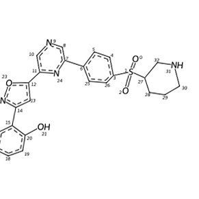 O=S(=O)(c1ccc(-c2cncc(-c3cc(-c4ccccc4O)no3)n2)cc1)C1CCCNC1